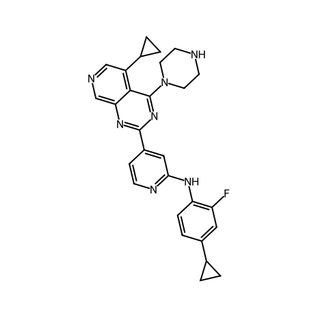 Fc1cc(C2CC2)ccc1Nc1cc(-c2nc(N3CCNCC3)c3c(C4CC4)cncc3n2)ccn1